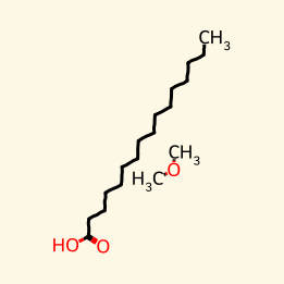 CCCCCCCCCCCCCCCC(=O)O.COC